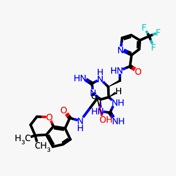 CC1(C)CCOc2c(C(=O)NC3CN4C(=N)N[C@@H](CNC(=O)c5cc(C(F)(F)F)ccn5)[C@@H]5NC(=N)N[C@@]54[C@@H]3O)cccc21